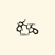 CCOC(=O)C(CN1C(=O)c2ccccc2C1=O)c1c(F)cnc2ccc(OC)nc12